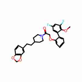 COc1c(F)cc(F)cc1-c1ccccc1OCC(=O)N1CCC(CCc2ccc3c(c2)OCO3)CC1